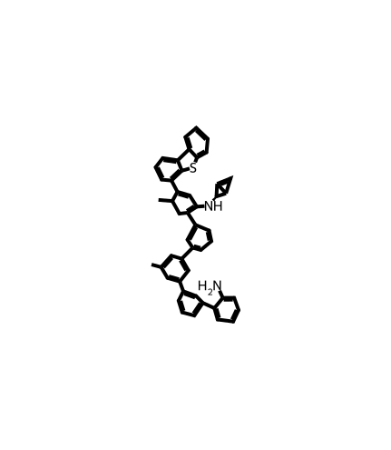 Cc1cc(-c2cccc(C3=C(N[C@H]4C5=CC54)C=C(c4cccc5c4sc4ccccc45)C(C)C3)c2)cc(-c2cccc(-c3ccccc3N)c2)c1